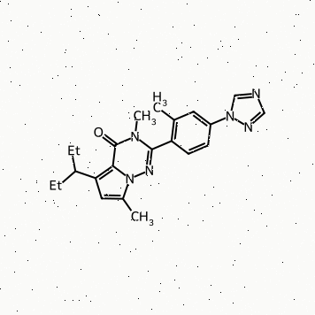 CCC(CC)c1cc(C)n2nc(-c3ccc(-n4cncn4)cc3C)n(C)c(=O)c12